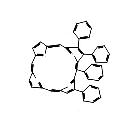 C1=CC2=NC1=CC1=NC(=C(c3ccccc3)C3=NC(=CC4=NC(=C2)C=C4)C=C3c2ccccc2)C(c2ccccc2)=C1c1ccccc1.Cl.[GaH3]